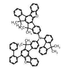 CC1(C)c2ccccc2-c2c(N(c3ccc4c(c3)C(C)(C)c3cc(-c5ccccc5-c5ccccc5)c5oc6ccccc6c5c3-4)c3ccc4c(c3)C(C)(C)c3c5c(c6c(oc7ccccc76)c3-4)-c3ccccc3C5(C)C)cccc21